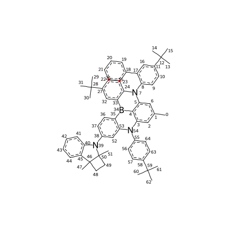 Cc1cc2c3c(c1)N(c1ccc(C(C)(C)C)cc1-c1ccccc1)c1ccc(C(C)(C)C)cc1B3c1ccc(N3c4ccccc4C4(C)CCC34C)cc1N2c1ccc(C(C)(C)C)cc1